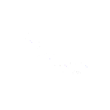 C=N/C=C(/CN(CC(F)(F)F)C1CCN(C2CC3(CCN(C(=O)OCC)C3)C2)CC1)OC